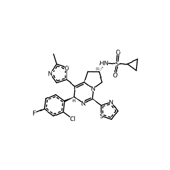 Cc1ncc(C2=C3C[C@H](NS(=O)(=O)C4CC4)CN3C(c3nccs3)=N[C@H]2c2ccc(F)cc2Cl)o1